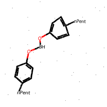 CCCCCc1ccc(OBOc2ccc(CCCCC)cc2)cc1